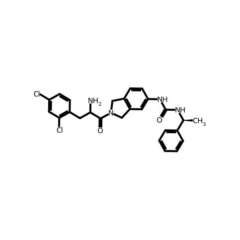 C[C@H](NC(=O)Nc1ccc2c(c1)CN(C(=O)C(N)Cc1ccc(Cl)cc1Cl)C2)c1ccccc1